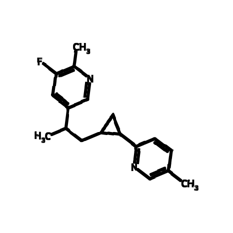 Cc1ccc(C2CC2CC(C)c2cnc(C)c(F)c2)nc1